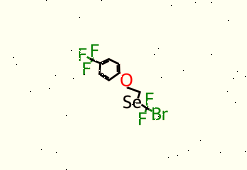 FC(F)(Br)[Se]CCOc1ccc(C(F)(F)F)cc1